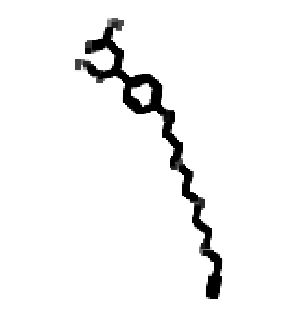 C#CCOCCOCCOCCOc1ccc(C(CC(=O)C(C)C)SCC)cc1